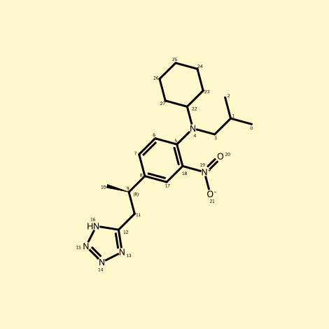 CC(C)CN(c1ccc([C@H](C)Cc2nnn[nH]2)cc1[N+](=O)[O-])C1CCCCC1